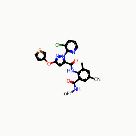 CCCNC(=O)c1cc(C#N)cc(C)c1NC(=O)c1cc(Oc2ccsc2)nn1-c1ncccc1Cl